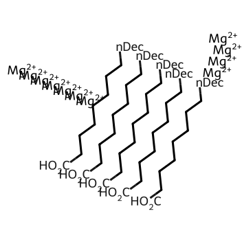 CCCCCCCCCCCCCCCCCC(=O)O.CCCCCCCCCCCCCCCCCC(=O)O.CCCCCCCCCCCCCCCCCC(=O)O.CCCCCCCCCCCCCCCCCC(=O)O.CCCCCCCCCCCCCCCCCC(=O)O.[Mg+2].[Mg+2].[Mg+2].[Mg+2].[Mg+2].[Mg+2].[Mg+2].[Mg+2].[Mg+2].[Mg+2].[Mg+2]